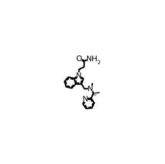 C[C@@H](c1ccccn1)N(C)Cc1cn(CCC(N)=O)c2ccccc12